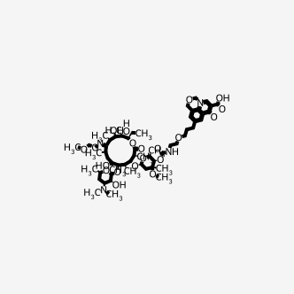 CC[C@H]1OC(=O)[C@H](C)[C@@H](O[C@H]2C[C@@](C)(OC)[C@@H](OC(=O)NCCOCCCc3cc4c5c(c3)c(=O)c(C(=O)O)cn5COC4)[C@H](C)O2)[C@H](C)[C@@H](OC2O[C@H](C)C[C@H](N(C)C)[C@H]2O)[C@](C)(O)C[C@@H](C)/C(=N\OCOC)[C@H](C)[C@@H](O)[C@]1(C)O